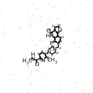 CNC(=O)c1ccc(N2CCN(Cc3ccc4c([nH]c(=O)c5ccoc54)c3F)CC2)c(C)n1